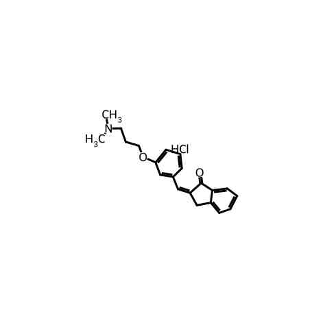 CN(C)CCCOc1cccc(C=C2Cc3ccccc3C2=O)c1.Cl